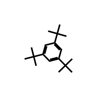 CC(C)(C)c1[c]c(C(C)(C)C)cc(C(C)(C)C)c1